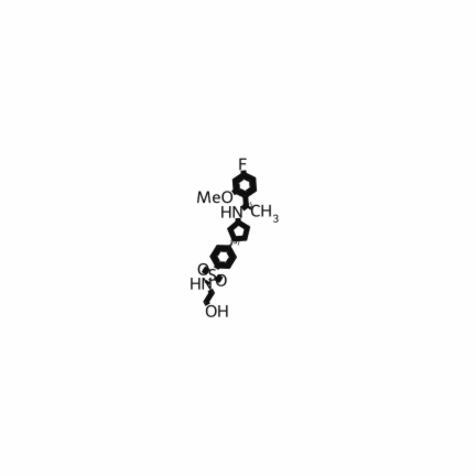 COc1cc(F)ccc1[C@@H](C)NC1CC[C@H](c2ccc(S(=O)(=O)NCCO)cc2)C1